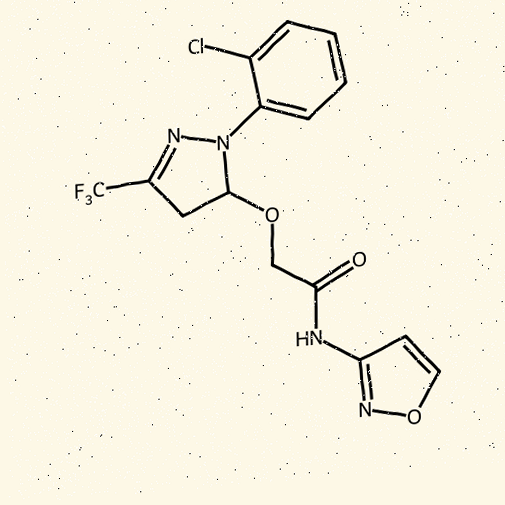 O=C(COC1CC(C(F)(F)F)=NN1c1ccccc1Cl)Nc1ccon1